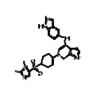 Cc1ncc(S(=O)(=O)C2CC=C(N3C=C(Nc4ccc5[nH]ncc5c4)c4cc[nH]c4C3)CC2)n1C